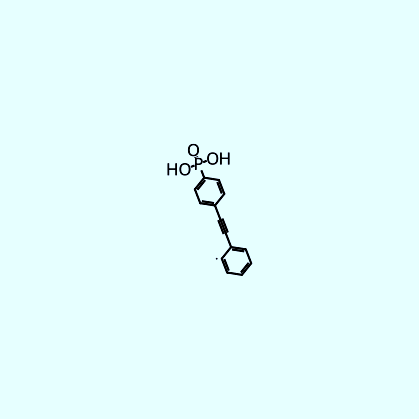 O=P(O)(O)c1ccc(C#Cc2[c]cccc2)cc1